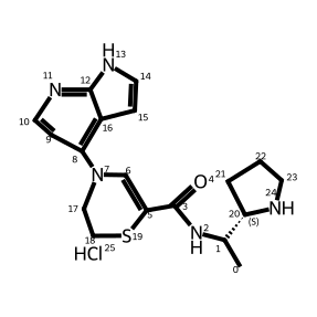 CC(NC(=O)C1=CN(c2ccnc3[nH]ccc23)CCS1)[C@@H]1CCCN1.Cl